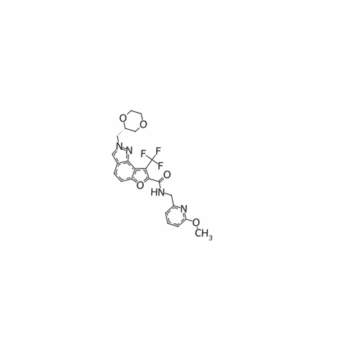 COc1cccc(CNC(=O)c2oc3ccc4cn(C[C@H]5COCCO5)nc4c3c2C(F)(F)F)n1